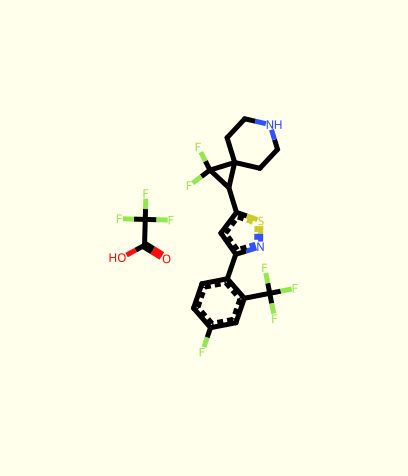 Fc1ccc(-c2cc(C3C(F)(F)C34CCNCC4)sn2)c(C(F)(F)F)c1.O=C(O)C(F)(F)F